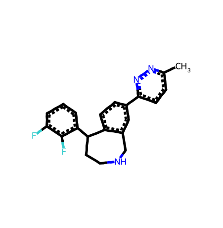 Cc1ccc(-c2ccc3c(c2)CNCCC3c2cccc(F)c2F)nn1